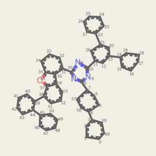 c1ccc(-c2ccc(-c3nc(-c4cc(-c5ccccc5)cc(-c5ccccc5)c4)nc(-c4cccc5oc6c(-c7ccccc7-c7ccccc7)cccc6c45)n3)cc2)cc1